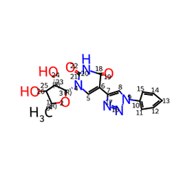 C[C@H]1O[C@@H](n2cc(-c3cn(-c4ccccc4)nn3)c(=O)[nH]c2=O)[C@@H](O)C1O